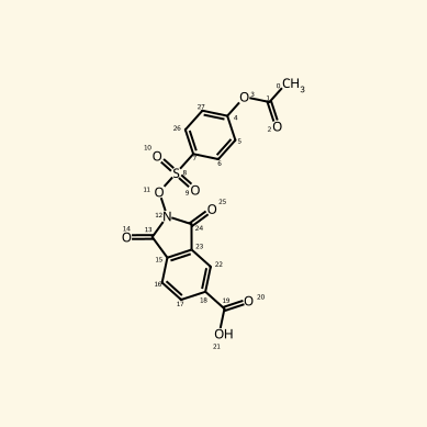 CC(=O)Oc1ccc(S(=O)(=O)ON2C(=O)c3ccc(C(=O)O)cc3C2=O)cc1